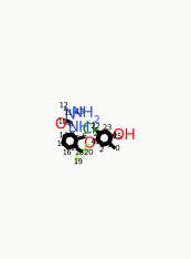 Cc1cc(OCc2c(NC(=O)N(C)N)cccc2C(F)F)c(Cl)cc1O